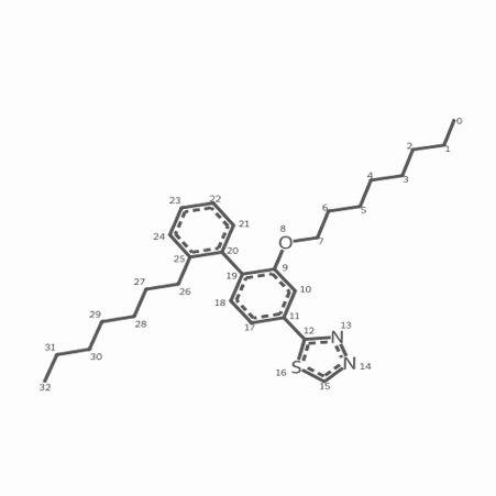 CCCCCCCCOc1cc(-c2nncs2)ccc1-c1ccccc1CCCCCCC